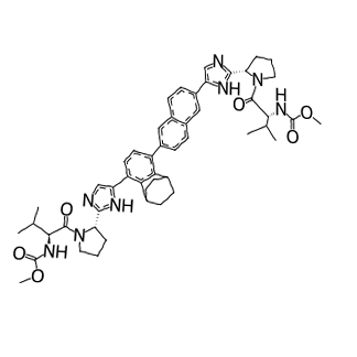 COC(=O)N[C@H](C(=O)N1CCC[C@H]1c1ncc(-c2ccc(-c3ccc4cc(-c5cnc([C@@H]6CCCN6C(=O)[C@H](NC(=O)OC)C(C)C)[nH]5)ccc4c3)c3c2C2CCC3CC2)[nH]1)C(C)C